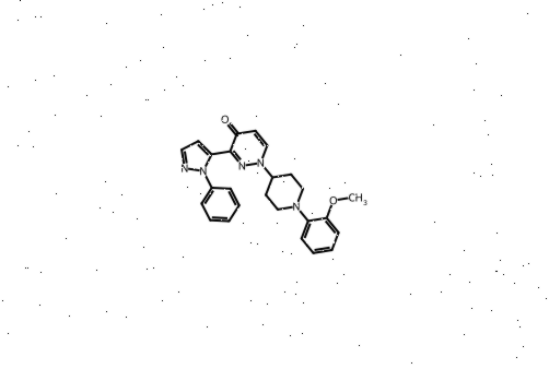 COc1ccccc1N1CCC(n2ccc(=O)c(-c3ccnn3-c3ccccc3)n2)CC1